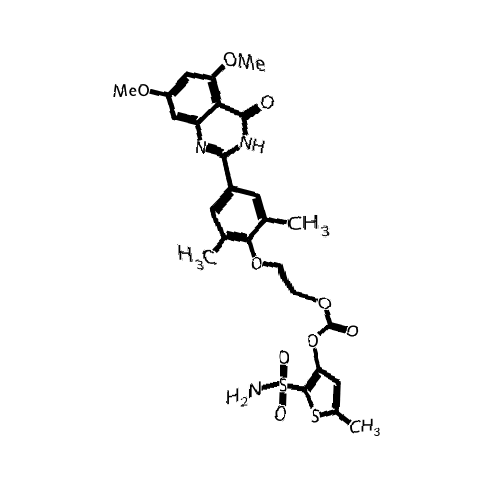 COc1cc(OC)c2c(=O)[nH]c(-c3cc(C)c(OCCOC(=O)Oc4cc(C)sc4S(N)(=O)=O)c(C)c3)nc2c1